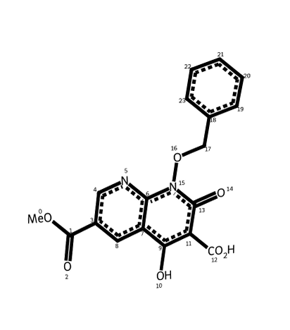 COC(=O)c1cnc2c(c1)c(O)c(C(=O)O)c(=O)n2OCc1ccccc1